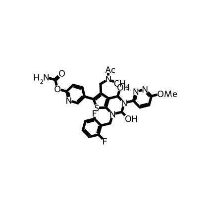 COc1ccc(N2C(O)c3c(sc(-c4ccc(OC(N)=O)nc4)c3CN(C)C(C)=O)N(Cc3c(F)cccc3F)C2O)nn1